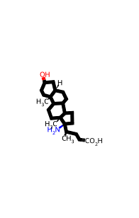 C[C@H](CCC(=O)O)[C@@]1(N)CCC2C3CC[C@@H]4CC(O)CC[C@]4(C)C3CC[C@@]21C